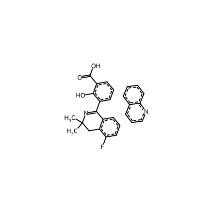 CC1(C)Cc2c(F)cccc2C(c2cccc(C(=O)O)c2O)=N1.c1ccc2ncccc2c1